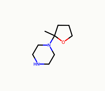 CC1(N2CCNCC2)CCCO1